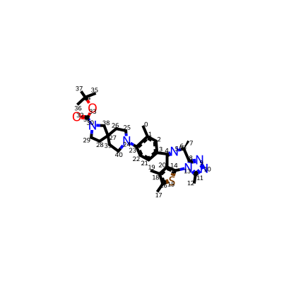 Cc1cc(C2=N[C@@H](C)c3nnc(C)n3-c3sc(C)c(C)c32)ccc1N1CCC2(CCN(C(=O)OC(C)(C)C)C2)CC1